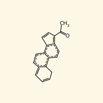 CC(=O)C1=c2ccc3c4c(ccc3c2C=C1)=CC=CC4